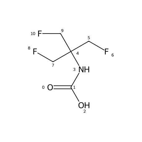 O=C(O)NC(CF)(CF)CF